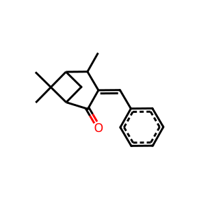 CC1C(=Cc2ccccc2)C(=O)C2CC1C2(C)C